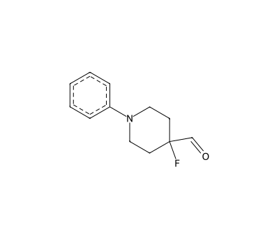 O=CC1(F)CCN(c2ccccc2)CC1